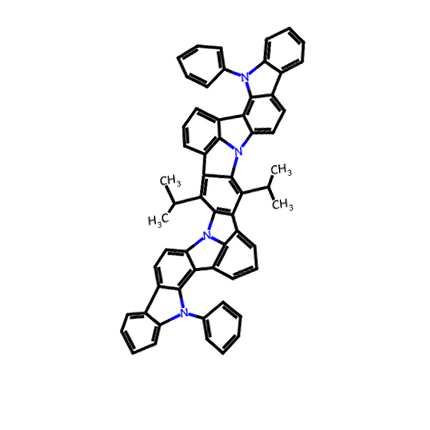 CC(C)c1c2c3cccc4c5c6c(ccc5n(c2c(C(C)C)c2c5cccc7c8c9c(ccc8n(c12)c57)c1ccccc1n9-c1ccccc1)c34)c1ccccc1n6-c1ccccc1